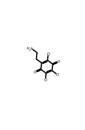 NCCC1=C(Cl)C(=O)C(Cl)=C(Cl)C1=O